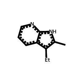 CCc1c(C)[nH]c2ncccc12